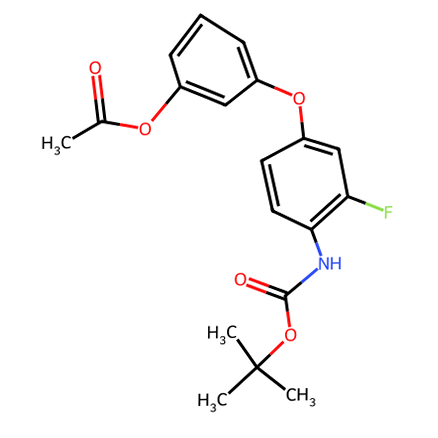 CC(=O)Oc1cccc(Oc2ccc(NC(=O)OC(C)(C)C)c(F)c2)c1